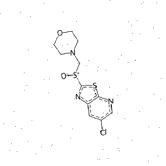 [O-][S+](CN1CCOCC1)c1nc2cc(Cl)cnc2s1